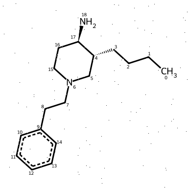 CCCC[C@@H]1CN(CCc2ccccc2)CC[C@H]1N